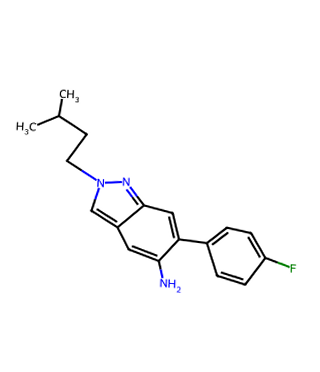 CC(C)CCn1cc2cc(N)c(-c3ccc(F)cc3)cc2n1